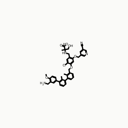 COc1ccc(-c2cccc(-c3cccc(COc4cc(OCc5cncc(C#N)c5)c(CNC(C)(CO)C(=O)O)cc4Cl)c3C)c2C)cc1CN